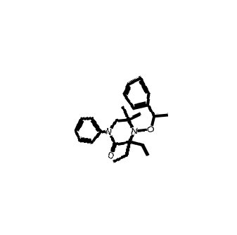 CCC1(CC)C(=O)N(c2ccccc2)CC(C)(C)N1OC(C)c1ccccc1